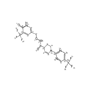 O=C(NOCc1c[nH]c(=O)c(C(F)(F)F)c1)C1C=CN(c2ncc(C(F)(F)F)cn2)CC1